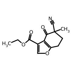 CCOC(=O)c1coc2c1C(=O)C(C)(C#N)CC2